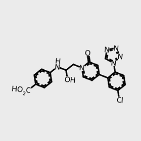 O=C(O)c1ccc(NC(O)Cn2ccc(-c3cc(Cl)ccc3-n3cnnn3)cc2=O)cc1